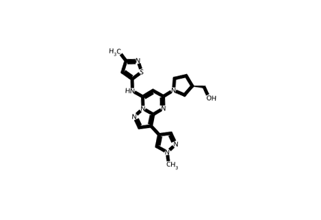 Cc1cc(Nc2cc(N3CC[C@@H](CO)C3)nc3c(-c4cnn(C)c4)cnn23)sn1